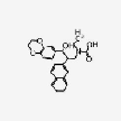 CCN(CC(c1ccc2ccccc2c1)C(O)c1ccc2c(c1)OCCO2)C(=O)O